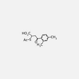 CC(=O)SC(CC(=O)c1ccc(C)cc1C)C(=O)O